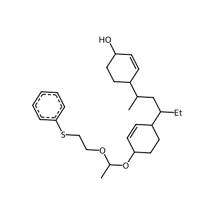 CCC(CC(C)C1C=CC(O)CC1)C1C=CC(OC(C)OCCSc2ccccc2)CC1